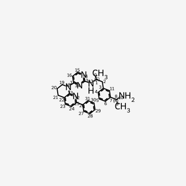 C[C@@H](Cc1cccc([C@@H](C)N)c1)Nc1nccc(N2CCCc3ccc(-c4ccccc4)nc32)n1